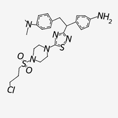 CN(C)c1ccc(CC(c2ccc(N)cc2)c2nsc(N3CCN(S(=O)(=O)CCCCl)CC3)n2)cc1